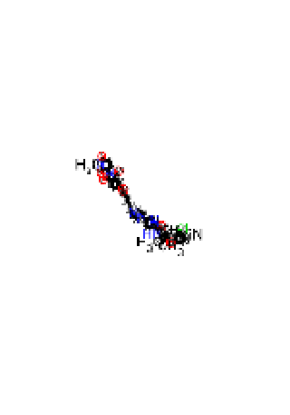 CN1C(=O)CCC(N2C(=O)c3ccc(OCCCCCN4CCN(c5ccc(C(=O)NC6C(C)(C)C(Oc7ccc(C#N)c(Cl)c7)C6(C)C)nc5)CC4)cc3C2=O)C1=O